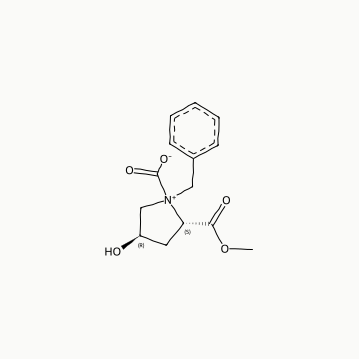 COC(=O)[C@@H]1C[C@@H](O)C[N+]1(Cc1ccccc1)C(=O)[O-]